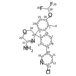 Cc1cc(C2(c3cccc(-c4ccc(Cl)nc4)c3)COCC(N)=N2)ccc1OC(F)F